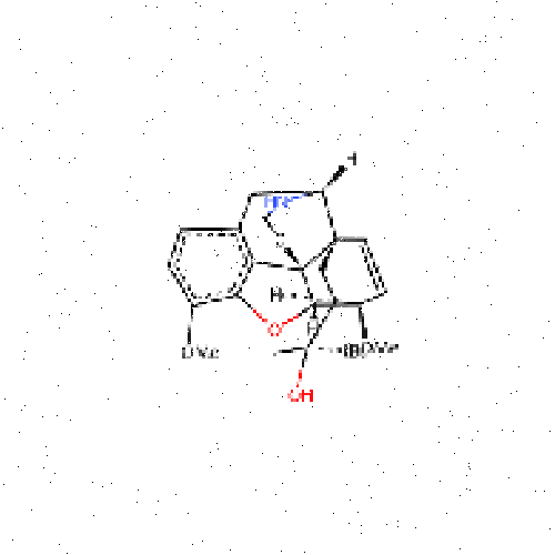 COc1ccc2c3c1O[C@H]1[C@@]4(OC)C=C[C@@]5(C[C@@H]4[C@](C)(O)C(C)(C)C)[C@@H](C2)NCC[C@]315